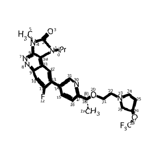 CC(C)n1c(=O)n(C)c2nnc3cc(F)c(-c4ccc([C@@H](C)OCCN5CCC(OC(F)(F)F)C5)nc4)cc3c21